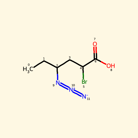 CCC(CC(Br)C(=O)O)N=[N+]=[N-]